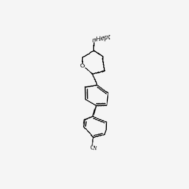 CCCCCCCC1CCC(c2ccc(-c3ccc(C#N)cc3)cc2)OC1